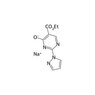 CCOC(=O)c1cnc(-n2cccn2)nc1[O-].[Na+]